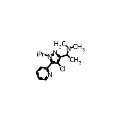 CC(c1nn(C(C)C)c(-c2ccccn2)c1Cl)N(C)C